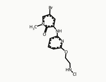 Cn1cc(Br)cc(Nc2cccc(OCCNCl)n2)c1=O